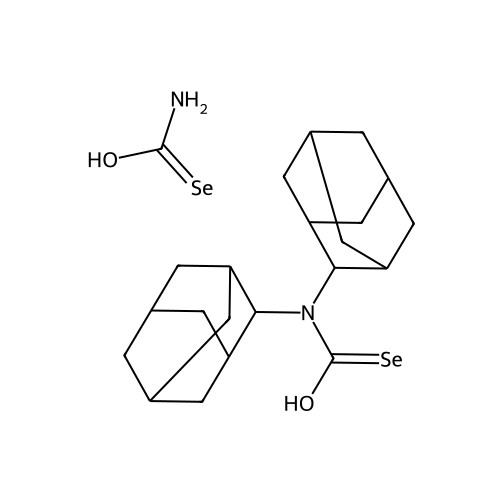 NC(O)=[Se].OC(=[Se])N(C1C2CC3CC(C2)CC1C3)C1C2CC3CC(C2)CC1C3